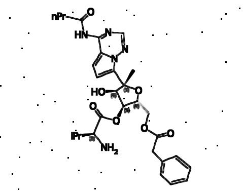 CCCC(=O)Nc1ncnn2c([C@]3(C)O[C@H](COC(=O)Cc4ccccc4)[C@@H](OC(=O)[C@@H](N)C(C)C)[C@H]3O)ccc12